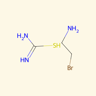 N=C(N)S.NCCBr